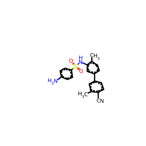 Cc1cc(-c2ccc(C)c(NS(=O)(=O)c3ccc(N)cc3)c2)ccc1C#N